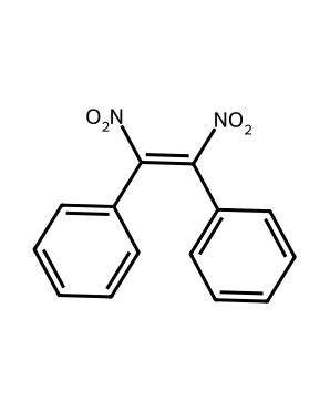 O=[N+]([O-])C(=C(c1ccccc1)[N+](=O)[O-])c1ccccc1